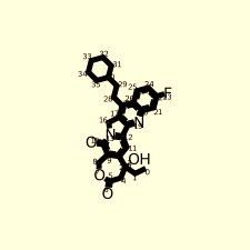 CC[C@@]1(O)CC(=O)OCc2c1cc1n(c2=O)Cc2c-1nc1cc(F)ccc1c2CCC1CCCCC1